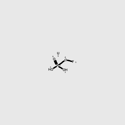 O=P(O)(O)OF.[U]